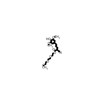 COCCOCCOCCOC(=O)C(C#N)=CC=Cc1cc(OC)c(O)c(OC)c1